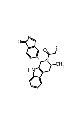 C[C@H]1Cc2c([nH]c3ccccc23)[C@H](c2ccc3c(c2)C=NC3=O)N1C(=O)CCl